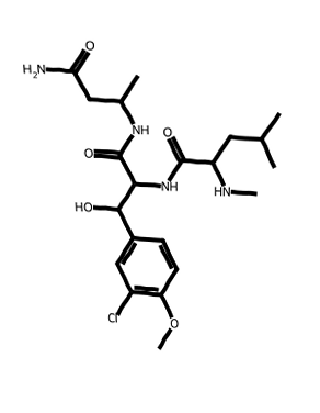 CNC(CC(C)C)C(=O)NC(C(=O)NC(C)CC(N)=O)C(O)c1ccc(OC)c(Cl)c1